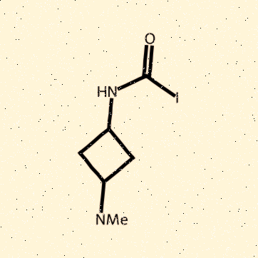 CNC1CC(NC(=O)I)C1